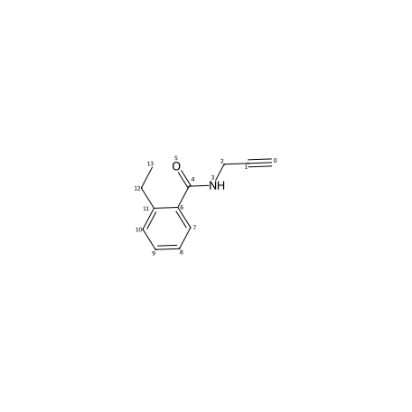 C#CCNC(=O)c1ccccc1CC